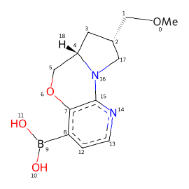 COC[C@H]1C[C@H]2COc3c(B(O)O)ccnc3N2C1